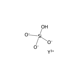 [O-][Si]([O-])([O-])O.[Y+3]